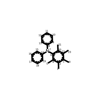 Cc1c(C)c(C)c(N(c2ccccc2)c2ccccc2)c(C)c1C